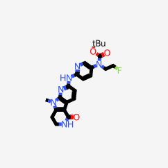 Cn1c2c(c3ccc(Nc4ccc(N(CCF)C(=O)OC(C)(C)C)cn4)nc31)C(=O)NCC2